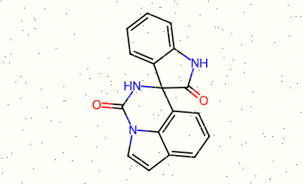 O=C1NC2(C(=O)Nc3ccccc32)c2cccc3ccn1c23